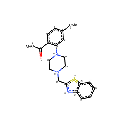 COC(=O)c1ccc(OC)cc1N1CCN(Cc2nc3ccccc3s2)CC1